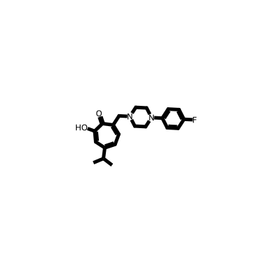 CC(C)c1ccc(CN2CCN(c3ccc(F)cc3)CC2)c(=O)c(O)c1